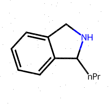 [CH2]CCC1NCc2ccccc21